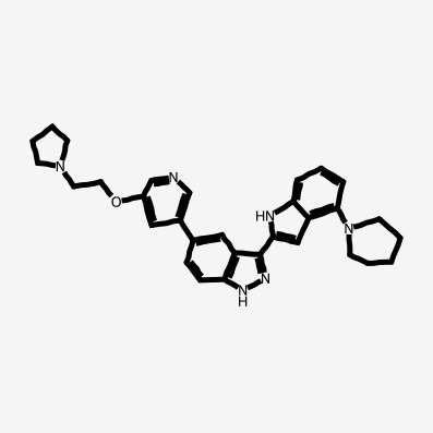 c1cc(N2CCCCC2)c2cc(-c3n[nH]c4ccc(-c5cncc(OCCN6CCCC6)c5)cc34)[nH]c2c1